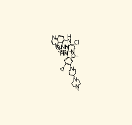 COc1cc(N2CCC(N3CCN(C)CC3)CC2)c(C2CC2)cc1Nc1ncc(Cl)c(Nc2ccc3nccnc3c2NS(C)(=O)=O)n1